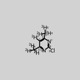 [2H]c1c(C([2H])([2H])[2H])nc(Cl)nc1C([2H])([2H])[2H]